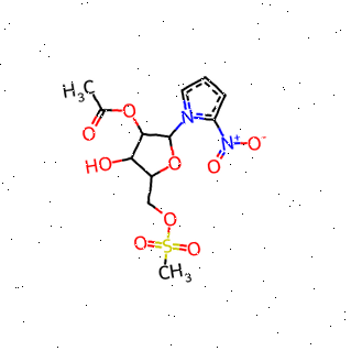 CC(=O)OC1C(O)C(COS(C)(=O)=O)OC1n1cccc1[N+](=O)[O-]